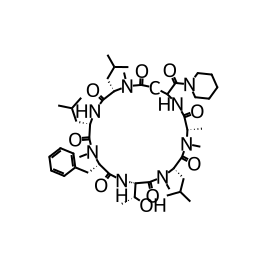 CC(C)C[C@@H]1NC(=O)[C@H](CC(C)C)N(C)C(=O)CC(C(=O)N2CCCCC2)NC(=O)[C@H](C)N(C)C(=O)[C@H](CC(C)C)N(C)C(=O)[C@H]([C@@H](C)O)NC(=O)[C@H](Cc2ccccc2)N(C)C1=O